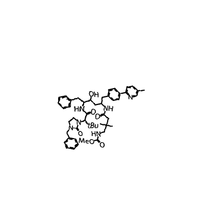 COC(=O)NCC(C)(C)CC(=O)NC(Cc1ccc(-c2ccc(C)cn2)cc1)CC(O)C(Cc1ccccc1)NC(=O)C(N1CCN(Cc2ccccc2)C1=O)C(C)(C)C